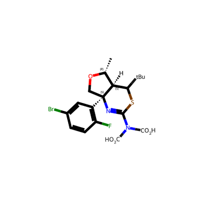 C[C@H]1OC[C@]2(c3cc(Br)ccc3F)N=C(N(C(=O)O)C(=O)O)SC(C(C)(C)C)[C@H]12